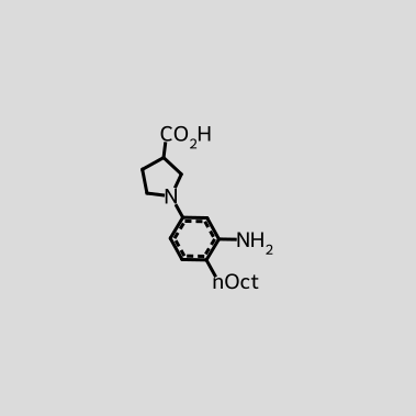 CCCCCCCCc1ccc(N2CCC(C(=O)O)C2)cc1N